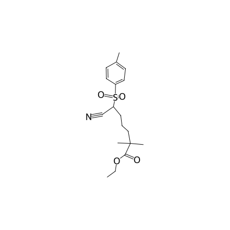 CCOC(=O)C(C)(C)CCCC(C#N)S(=O)(=O)c1ccc(C)cc1